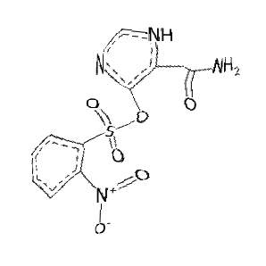 NC(=O)c1[nH]cnc1OS(=O)(=O)c1ccccc1[N+](=O)[O-]